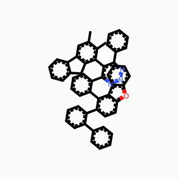 Cc1cc2c(c(-c3c(-c4ccccc4)nnnc3-c3ccccc3-c3c(-c4ccccc4-c4ccccc4)ccc4oc5ccccc5c34)c1C)Cc1ccccc1-2